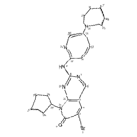 O=c1c(Br)cc2cnc(Nc3ccc(N4CCCCC4)cn3)nc2n1C1CCCC1